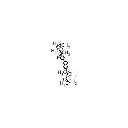 C=C(C)C(=O)OC/C(C)=C(\C)Oc1ccc2cc(-c3ccc(O/C(C)=C(\C)OC(=O)C(=C)C)c(F)c3)ccc2c1